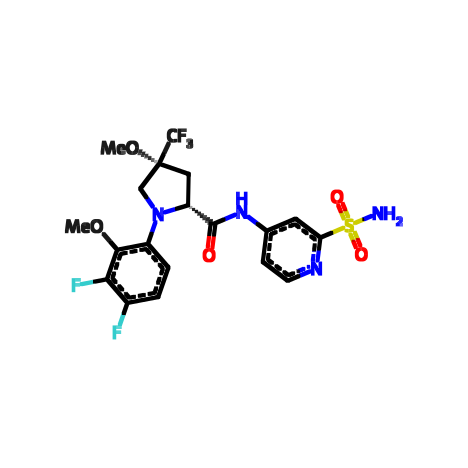 COc1c(N2C[C@@](OC)(C(F)(F)F)C[C@@H]2C(=O)Nc2ccnc(S(N)(=O)=O)c2)ccc(F)c1F